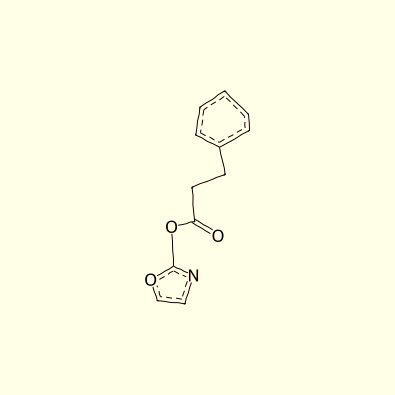 O=C(CCc1ccccc1)Oc1ncco1